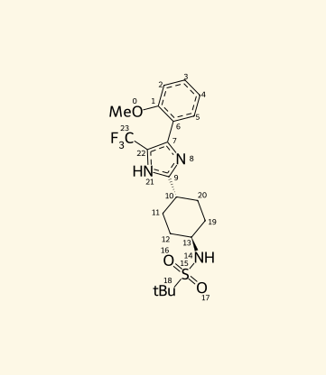 COc1ccccc1-c1nc([C@H]2CC[C@H](NS(=O)(=O)C(C)(C)C)CC2)[nH]c1C(F)(F)F